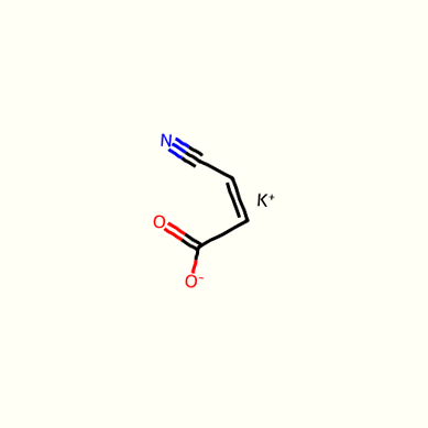 N#C/C=C\C(=O)[O-].[K+]